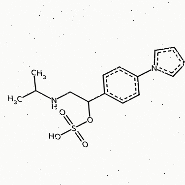 CC(C)NCC(OS(=O)(=O)O)c1ccc(-n2ccnc2)cc1